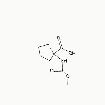 COC(=O)NC1(C(=O)O)CCCC1